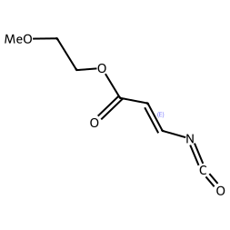 COCCOC(=O)/C=C/N=C=O